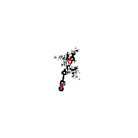 COC(=O)N[C@H](C(=O)N[C@@H](Cc1ccc(C#Cc2ccc(N3CC4CC(C3)N4C3COC3)nc2)cc1)[C@@H](O)CN(Cc1c(F)cc(-c2cnn(C(F)F)c2)cc1F)NC(=O)[C@@H](NC(=O)OC)C(C)(C)C(F)(F)F)C(C)(C)C(F)(F)F